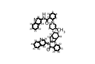 CC1CCCN(c2ccccc2C(=O)Nc2cnc3ccccc3c2)C1.O=C(c1ccccc1)N(c1cnc2ccccc2c1)N1CC2CCCC(C2)C1